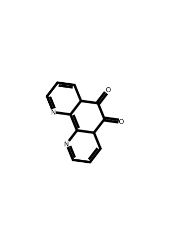 O=C1C(=O)C2C=CC=NC2=C2N=CC=CC12